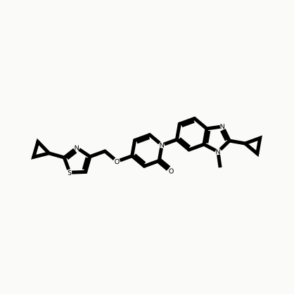 Cn1c(C2CC2)nc2ccc(-n3ccc(OCc4csc(C5CC5)n4)cc3=O)cc21